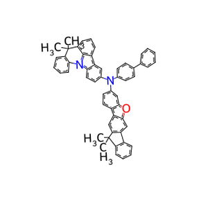 CC1(C)c2ccccc2-c2cc3oc4cc(N(c5ccc(-c6ccccc6)cc5)c5ccc6c(c5)c5cccc7c5n6-c5ccccc5C7(C)C)ccc4c3cc21